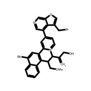 C=C(CO)C1C(COC)c2c(cc(C(C)(C)C)c3ccccc23)-c2cc(-c3cncc4occ(CC(C)C)c34)cc[n+]21